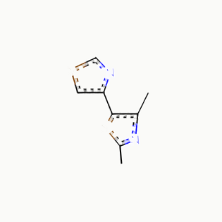 Cc1nc(C)c(-c2cscn2)s1